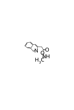 CNOC(=O)Cc1cc2ccccc2cn1